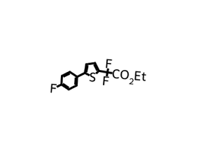 CCOC(=O)C(F)(F)c1ccc(-c2ccc(F)cc2)s1